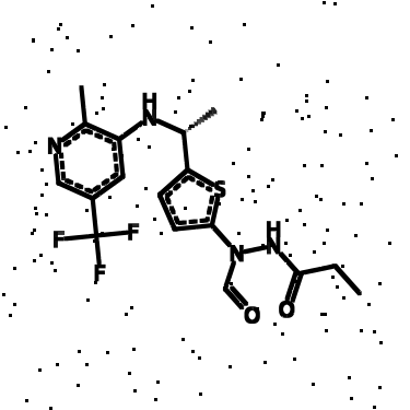 CCC(=O)NN(C=O)c1ccc([C@@H](C)Nc2cc(C(F)(F)F)cnc2C)s1